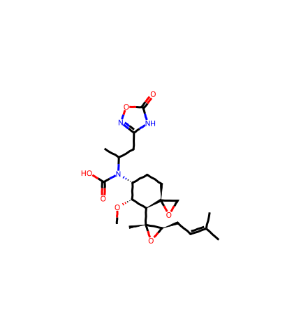 CO[C@@H]1[C@H](N(C(=O)O)C(C)Cc2noc(=O)[nH]2)CC[C@]2(CO2)[C@H]1[C@@]1(C)O[C@@H]1CC=C(C)C